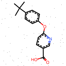 CC(C)(C)c1ccc(Oc2ccc(C(=O)O)cn2)cc1